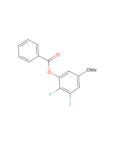 COc1cc(F)c(F)c(OC(=O)c2ccccc2)c1